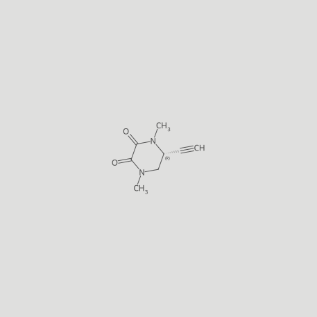 C#C[C@@H]1CN(C)C(=O)C(=O)N1C